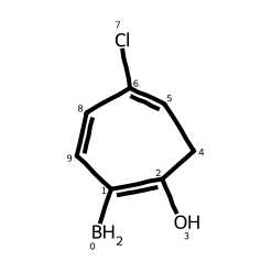 BC1=C(O)CC=C(Cl)C=C1